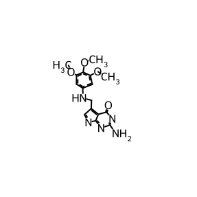 COc1cc(NCC2=C3C(=O)N=C(N)N=C3N=C2)cc(OC)c1OC